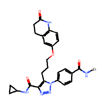 CCNC(=O)c1ccc(-n2nnc(C(=O)NC3CC3)c2CCCOc2ccc3c(c2)CCC(=O)N3)cc1